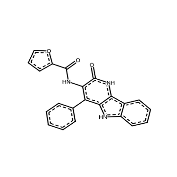 O=C(Nc1c(-c2ccccc2)c2[nH]c3ccccc3c2[nH]c1=O)c1ccco1